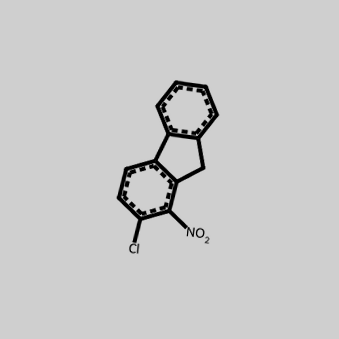 O=[N+]([O-])c1c(Cl)ccc2c1Cc1ccccc1-2